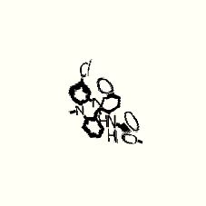 COC(=O)N[C@H]1CCC(=O)N2c3cc(Cl)ccc3N(C)c3ccccc3[C@@H]12